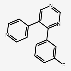 Fc1cccc(-c2ncncc2-c2ccncc2)c1